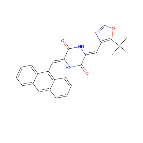 CC(C)(C)c1ocnc1C=c1[nH]c(=O)c(=Cc2c3ccccc3cc3ccccc23)[nH]c1=O